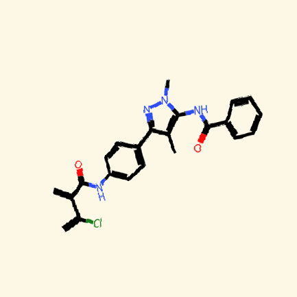 C=C(Cl)C(=C)C(=O)Nc1ccc(-c2nn(C)c(NC(=O)c3ccccc3)c2C)cc1